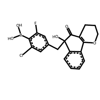 O=C1C2=C(OCCC2)c2ccccc2C1(O)Cc1cc(F)c(B(O)O)c(Cl)c1